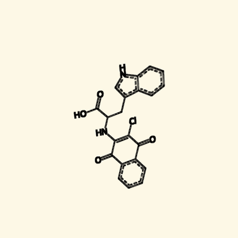 O=C1C(Cl)=C(NC(Cc2c[nH]c3ccccc23)C(=O)O)C(=O)c2ccccc21